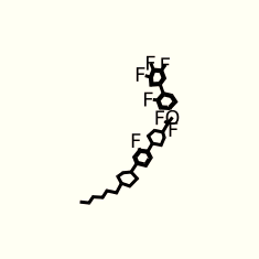 CCCCCCC1CCC(c2ccc(C3CCC(C(F)(F)Oc4ccc(-c5cc(F)c(F)c(F)c5)c(F)c4)CC3)c(F)c2)CC1